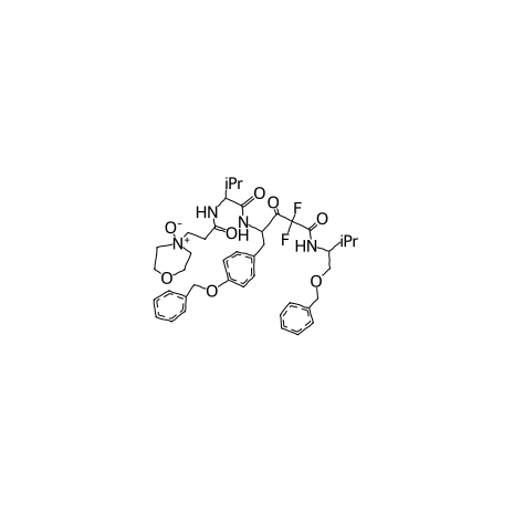 CC(C)C(COCc1ccccc1)NC(=O)C(F)(F)C(=O)C(Cc1ccc(OCc2ccccc2)cc1)NC(=O)C(NC(=O)CC[N+]1([O-])CCOCC1)C(C)C